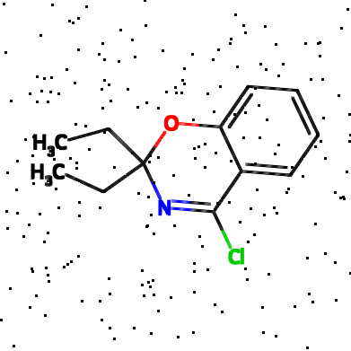 CCC1(CC)N=C(Cl)c2ccccc2O1